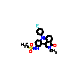 C=CS(=O)(=O)Nc1ccc(Nc2ccc(F)cc2)c(-c2cn(C)c(=O)c3ccccc23)c1